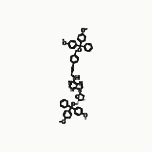 COc1ccc(C(OCc2ccc(C#CCNc3ncnc4c3ncn4[C@H]3C[CH][C@H](COC(c4ccccc4)(c4ccc(OC)cc4)c4ccc(OC)cc4)O3)cc2)(c2ccccc2)c2ccc(OC)cc2)cc1